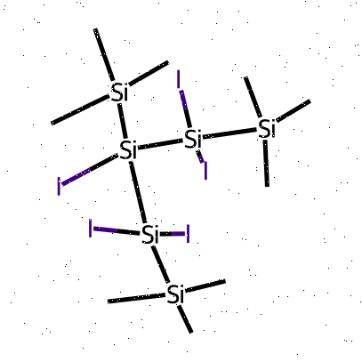 C[Si](C)(C)[Si](I)(I)[Si](I)([Si](C)(C)C)[Si](I)(I)[Si](C)(C)C